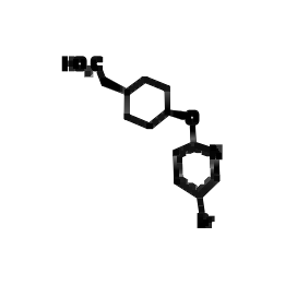 O=C(O)C[C@H]1CC[C@@H](Oc2ccc(Br)cn2)CC1